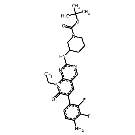 CCn1c(=O)c(-c2ccc(N)c(F)c2F)cc2cnc(NC3CCCN(C(=O)OC(C)(C)C)C3)nc21